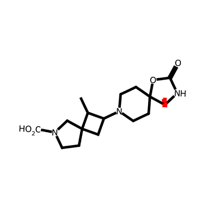 CC1C(N2CCC3(CC2)OC(=O)NC32CCC2)CC12CCN(C(=O)O)C2